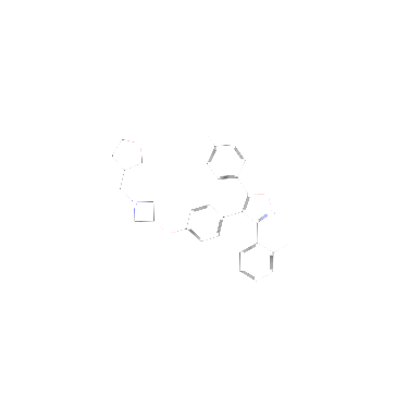 Oc1ccc(-c2onc(-c3ccccc3Cl)c2-c2ccc(OC3CN(CC4CCOC4)C3)cc2)cc1